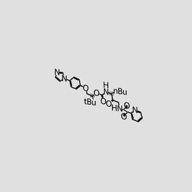 CCCC[C@H](NC(=O)O[C@H](COc1ccc(-n2ccnc2)cc1)C(C)(C)C)C(=O)CNS(=O)(=O)c1ccccn1